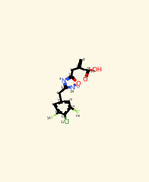 C=C(Cc1nc(Cc2cc(F)c(Cl)c(F)c2)no1)C(=O)O